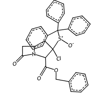 O=C(OCc1ccccc1)C1N2C(=O)CC2CC1(Cl)[S+]([O-])C(c1ccccc1)(c1ccccc1)c1ccccc1